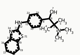 CN(C)C(C)(C)C(O)c1ccc(Nc2nc3ccccc3s2)cc1